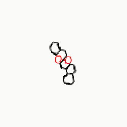 C1=CC2(CCc3ccccc3O2)Oc2ccc3ccccc3c21